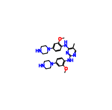 COc1cc(N2CCNCC2)ccc1Nc1ncc(C)c(Nc2ccc(N3CCNCC3)cc2OC)n1